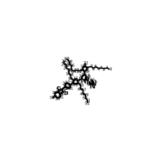 CCCCCCCCc1cc(-c2cc(-c3cc(CCCCCCCC)c(-c4ccc5c(c4)sc4c6ccc(C)cc6sc54)cc3CCCCCCCC)nc(-n3cnnc3)n2)c(CCCCCCCC)cc1C